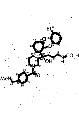 CCc1cccc(Oc2c(Cl)cccc2[C@](O)(CCCNC(=O)O)[C@@H]2CCCN(C(=O)c3ccc(CNC)cc3)C2)c1